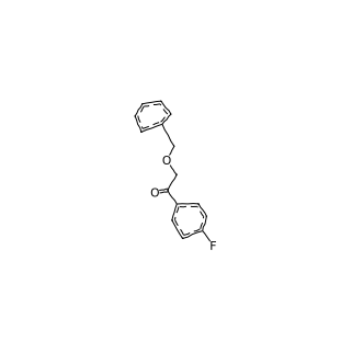 O=C(COCc1ccccc1)c1ccc(F)cc1